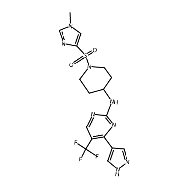 Cn1cnc(S(=O)(=O)N2CCC(Nc3ncc(C(F)(F)F)c(-c4cn[nH]c4)n3)CC2)c1